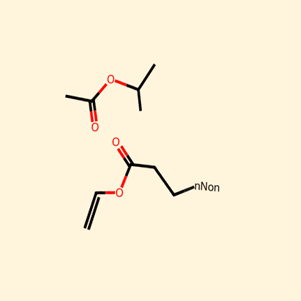 C=COC(=O)CCCCCCCCCCC.CC(=O)OC(C)C